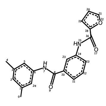 Cc1cc(C)cc(NC(=O)c2cccc(NC(=O)c3ccco3)c2)c1